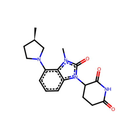 C[C@@H]1CCN(c2cccc3c2n(C)c(=O)n3C2CCC(=O)NC2=O)C1